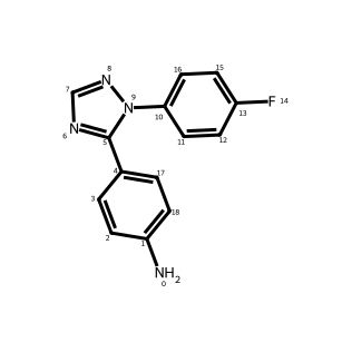 Nc1ccc(-c2ncnn2-c2ccc(F)cc2)cc1